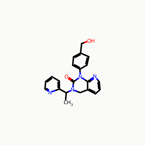 CC(c1ccccn1)N1Cc2cccnc2N(c2ccc(CO)cc2)C1=O